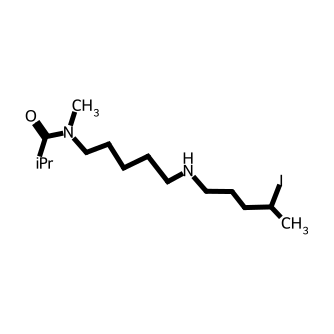 CC(I)CCCNCCCCCN(C)C(=O)C(C)C